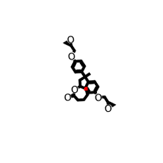 CC(CC1CCCCC(=O)O1)(c1ccc(OCC2CO2)cc1)c1ccc(OCC2CO2)cc1